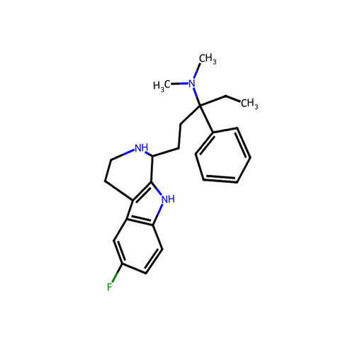 CCC(CCC1NCCc2c1[nH]c1ccc(F)cc21)(c1ccccc1)N(C)C